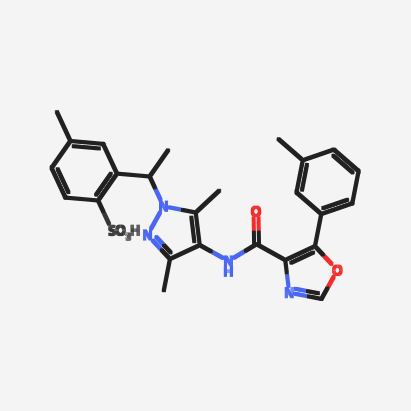 Cc1cccc(-c2ocnc2C(=O)Nc2c(C)nn(C(C)c3cc(C)ccc3S(=O)(=O)O)c2C)c1